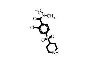 CN(C)C(=O)c1ccc(S(=O)(=O)C2CCNCC2)cc1Cl